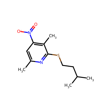 Cc1cc([N+](=O)[O-])c(C)c(SCCC(C)C)n1